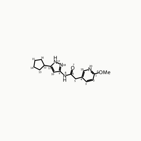 COc1ccc(CC(=O)Nc2cc(C3CCCC3)[nH]n2)cn1